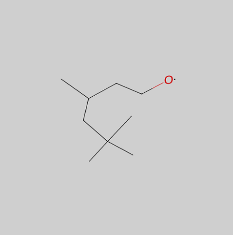 CC(CC[O])CC(C)(C)C